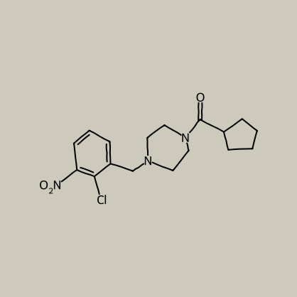 O=C(C1CCCC1)N1CCN(Cc2cccc([N+](=O)[O-])c2Cl)CC1